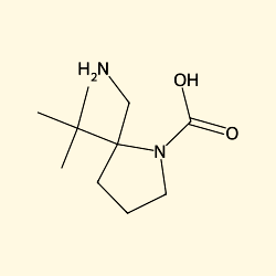 CC(C)(C)C1(CN)CCCN1C(=O)O